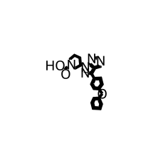 O=C(O)N1CCC[C@@H](n2nc(-c3ccc(Oc4ccccc4)cc3)c3cncnc32)C1